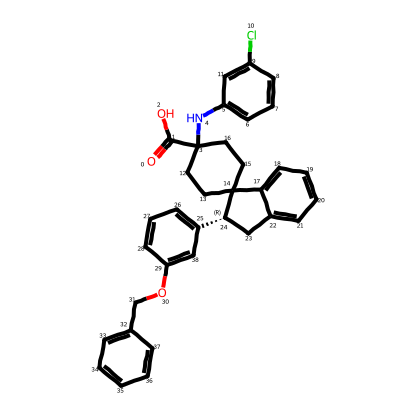 O=C(O)C1(Nc2cccc(Cl)c2)CCC2(CC1)c1ccccc1C[C@@H]2c1cccc(OCc2ccccc2)c1